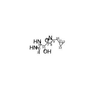 N=C(I)C(=N)C(O)c1cc(CC2CC2)no1